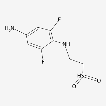 Nc1cc(F)c(NCC[SH](=O)=O)c(F)c1